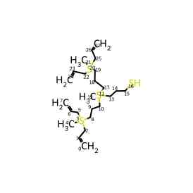 C=CCS(C)(CC=C)CCCS(C)(CCCS)CCCS(C)(CC=C)CC=C